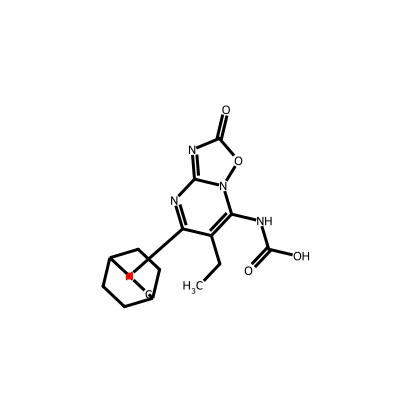 CCc1c(N2CC3CCC(CC3)C2)nc2nc(=O)on2c1NC(=O)O